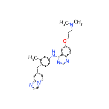 Cc1cc(Nc2ncnc3ccc(OCCCN(C)C)cc23)ccc1Cc1ccn2ccnc2c1